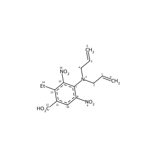 C=CCN(CC=C)c1c([N+](=O)[O-])cc(C(=O)O)c(CC)c1[N+](=O)[O-]